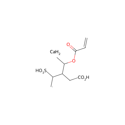 [CH2]C(C(CC(=O)O)C(C)OC(=O)C=C)S(=O)(=O)O.[CaH2]